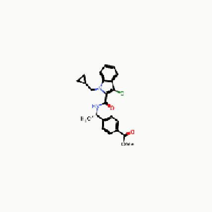 COC(=O)c1ccc([C@H](C)NC(=O)c2c(Cl)c3ccccc3n2CC2CC2)cc1